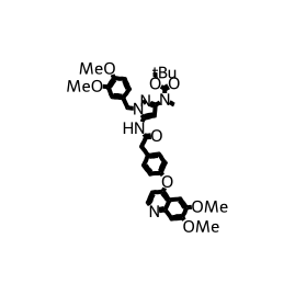 COc1ccc(Cn2nc(N(C)C(=O)OC(C)(C)C)cc2NC(=O)Cc2ccc(Oc3ccnc4cc(OC)c(OC)cc34)cc2)cc1OC